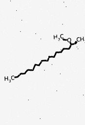 C=CC(CCCCCCCCCCCCCCCC)OCC